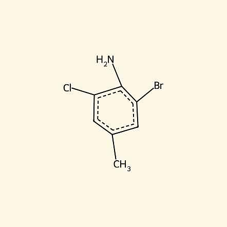 Cc1cc(Cl)c(N)c(Br)c1